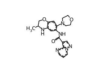 CC1COc2cc(N3CCOCC3)c(NC(=O)c3cnn4cccnc34)cc2N1